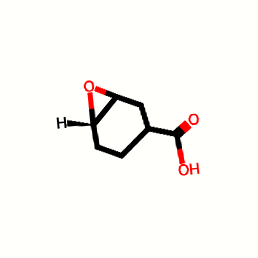 O=C(O)C1CC[C@@H]2OC2C1